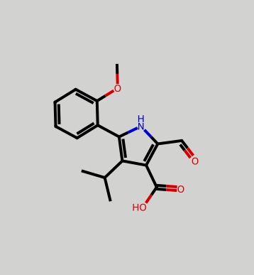 COc1ccccc1-c1[nH]c(C=O)c(C(=O)O)c1C(C)C